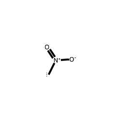 [C][N+](=O)[O-]